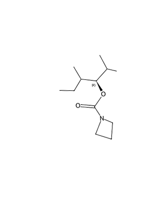 CCC(C)[C@H](OC(=O)N1CCC1)C(C)C